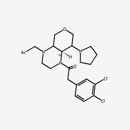 CC(=O)CN1CCN(C(=O)Cc2ccc(Cl)c(Cl)c2)[C@@H]2C(N3CCCC3)COCC21